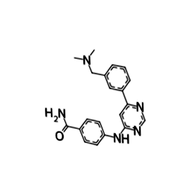 CN(C)Cc1cccc(-c2cc(Nc3ccc(C(N)=O)cc3)ncn2)c1